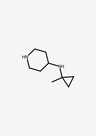 CC1(NC2CCNCC2)CC1